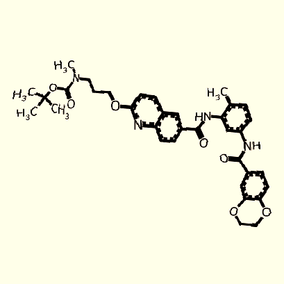 Cc1ccc(NC(=O)c2ccc3c(c2)OCCO3)cc1NC(=O)c1ccc2nc(OCCCN(C)C(=O)OC(C)(C)C)ccc2c1